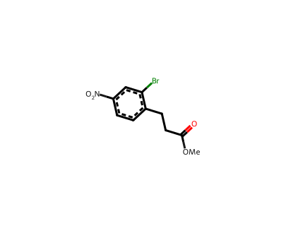 COC(=O)CCc1ccc([N+](=O)[O-])cc1Br